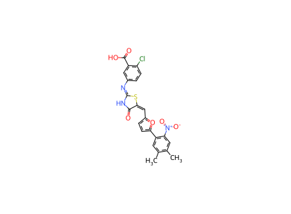 Cc1cc(-c2ccc(/C=C3/S/C(=N\c4ccc(Cl)c(C(=O)O)c4)NC3=O)o2)c([N+](=O)[O-])cc1C